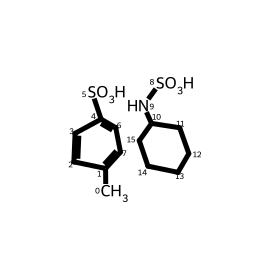 Cc1ccc(S(=O)(=O)O)cc1.O=S(=O)(O)NC1CCCCC1